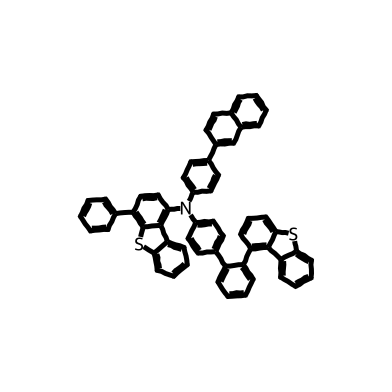 c1ccc(-c2ccc(N(c3ccc(-c4ccc5ccccc5c4)cc3)c3ccc(-c4ccccc4-c4cccc5sc6ccccc6c45)cc3)c3c2sc2ccccc23)cc1